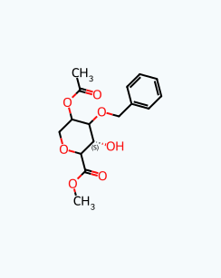 COC(=O)C1OCC(OC(C)=O)C(OCc2ccccc2)[C@@H]1O